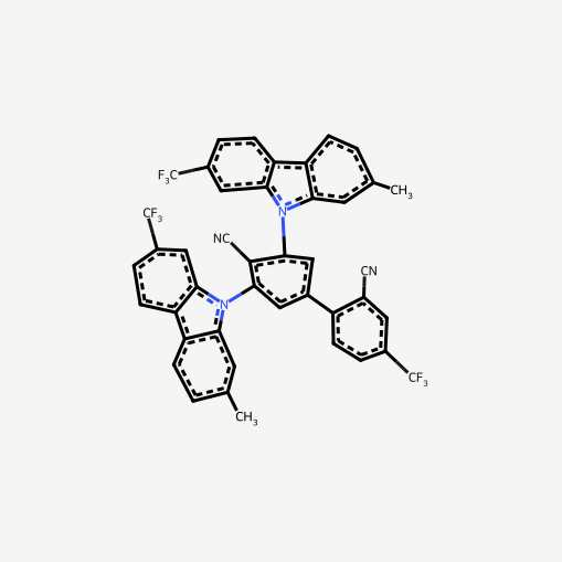 Cc1ccc2c3ccc(C(F)(F)F)cc3n(-c3cc(-c4ccc(C(F)(F)F)cc4C#N)cc(-n4c5cc(C)ccc5c5ccc(C(F)(F)F)cc54)c3C#N)c2c1